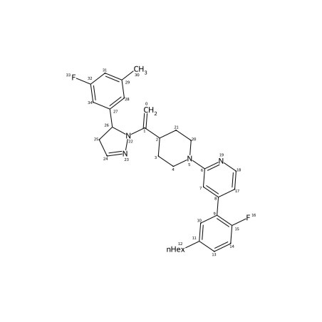 C=C(C1CCN(c2cc(-c3cc(CCCCCC)ccc3F)ccn2)CC1)N1N=CCC1c1cc(C)cc(F)c1